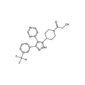 O=C(CO)N1CCC(c2[nH]nc(-c3cccc(C(F)(F)F)c3)c2-c2ccncn2)CC1